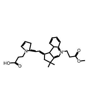 COC(=O)CC[N+]1=C2C=CC=CC2C2C(=C1)C(C)(C)C/C2=C\C=C1/CC=CN1CCC(=O)O